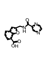 O=C(NCc1cc2cccc(C(=O)O)c2o1)c1cnccn1